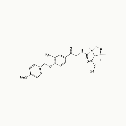 COc1ccc(COc2ccc(C(=O)CNC(=O)C3(C)COC(C)(C)N3C(=O)OC(C)(C)C)cc2C(F)(F)F)cc1